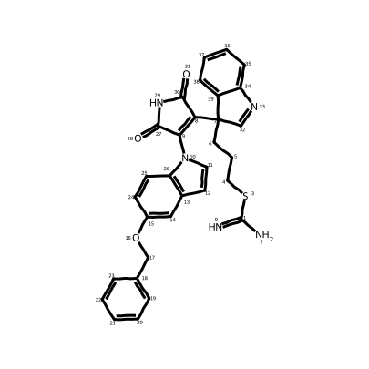 N=C(N)SCCCC1(C2=C(n3ccc4cc(OCc5ccccc5)ccc43)C(=O)NC2=O)C=Nc2ccccc21